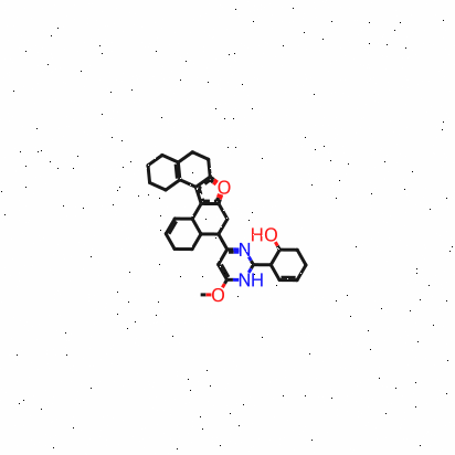 COC1=CC(C2Cc3oc4c(c3C3C=CCCC23)C2=C(CCCC2)CC4)=NC(C2C=CCCC2O)N1